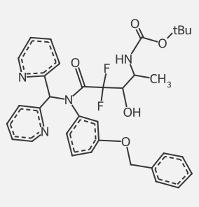 CC(NC(=O)OC(C)(C)C)C(O)C(F)(F)C(=O)N(c1cccc(OCc2ccccc2)c1)C(c1ccccn1)c1ccccn1